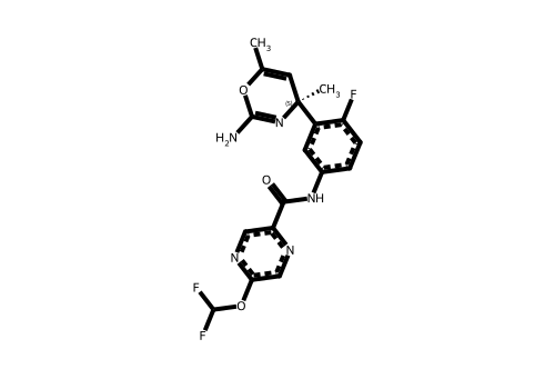 CC1=C[C@@](C)(c2cc(NC(=O)c3cnc(OC(F)F)cn3)ccc2F)N=C(N)O1